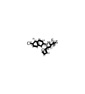 C[C@@H]1C2=C(C=CC1Cl)CC(n1nc(C(F)(F)F)cc1-c1ccco1)C=C2